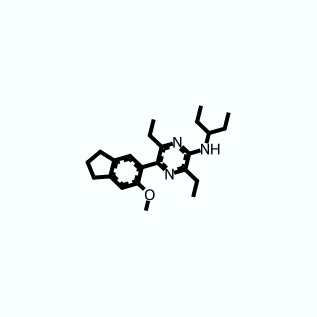 CCc1nc(-c2cc3c(cc2OC)CCC3)c(CC)nc1NC(CC)CC